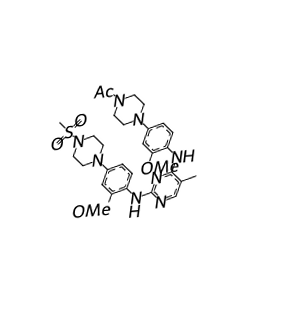 COc1cc(N2CCN(S(C)(=O)=O)CC2)ccc1Nc1ncc(C)c(Nc2ccc(N3CCN(C(C)=O)CC3)cc2OC)n1